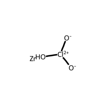 [O-][Cl+2]([O-])O.[Zr]